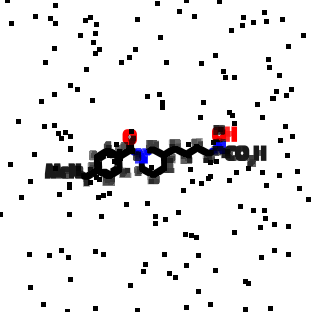 CNCc1ccc(C(=O)N2CCCC(CCCCN(O)C(=O)O)C2)cc1